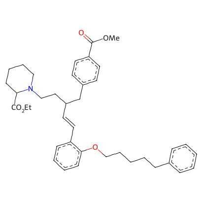 CCOC(=O)C1CCCCN1CCC(/C=C/c1ccccc1OCCCCCc1ccccc1)Cc1ccc(C(=O)OC)cc1